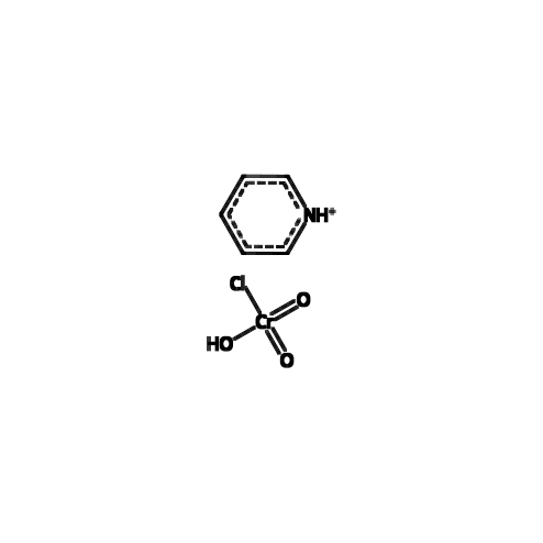 [O]=[Cr](=[O])([OH])[Cl].c1cc[nH+]cc1